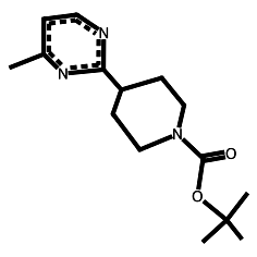 Cc1ccnc(C2CCN(C(=O)OC(C)(C)C)CC2)n1